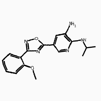 COc1ccccc1-c1noc(-c2cnc(NC(C)C)c(N)c2)n1